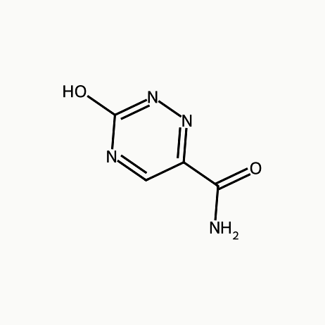 NC(=O)c1cnc(O)nn1